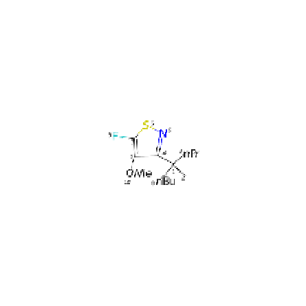 CCCCC(C)(CCC)c1nsc(F)c1OC